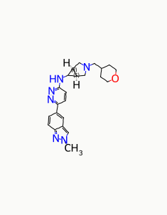 Cn1cc2cc(-c3ccc(NC4[C@H]5CN(CC6CCOCC6)C[C@@H]45)nn3)ccc2n1